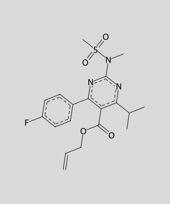 C=CCOC(=O)c1c(-c2ccc(F)cc2)nc(N(C)S(C)(=O)=O)nc1C(C)C